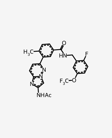 CC(=O)Nc1cn2nc(-c3cc(C(=O)NCc4cc(OC(F)(F)F)ccc4F)ccc3C)ccc2n1